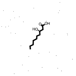 CCCCCCC[C@@H](O)CC(=O)O